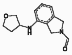 O=CN1Cc2cccc(NC3CCOC3)c2C1